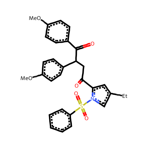 CCc1cc(C(=O)CC(C(=O)c2ccc(OC)cc2)c2ccc(OC)cc2)n(S(=O)(=O)c2ccccc2)c1